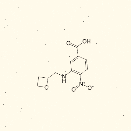 O=C(O)c1ccc([N+](=O)[O-])c(NCC2CCO2)c1